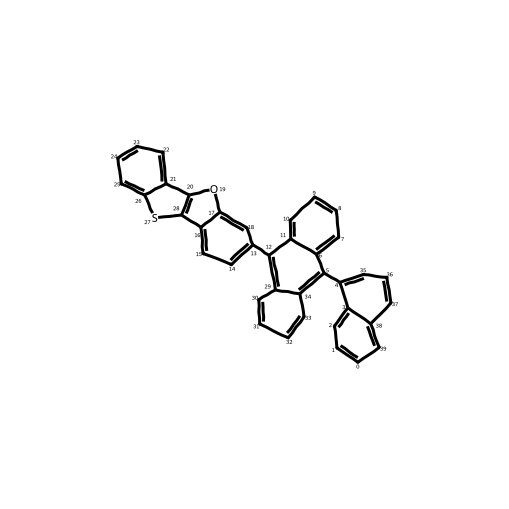 c1ccc2c(-c3c4ccccc4c(-c4ccc5c(c4)oc4c6ccccc6sc54)c4ccccc34)cccc2c1